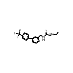 CCNCC(=O)NCc1cccc(-c2ccc(C(F)(F)F)cc2)c1